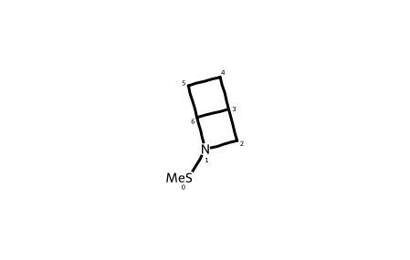 CSN1CC2CCC21